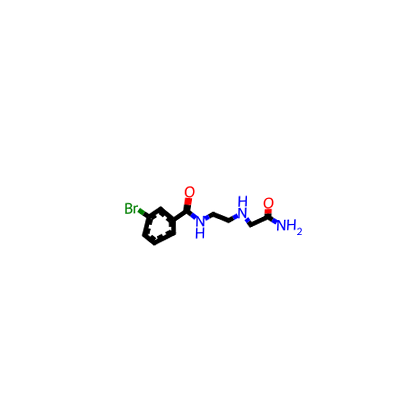 NC(=O)CNCCNC(=O)c1cccc(Br)c1